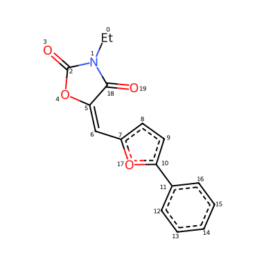 CCN1C(=O)O/C(=C/c2ccc(-c3ccccc3)o2)C1=O